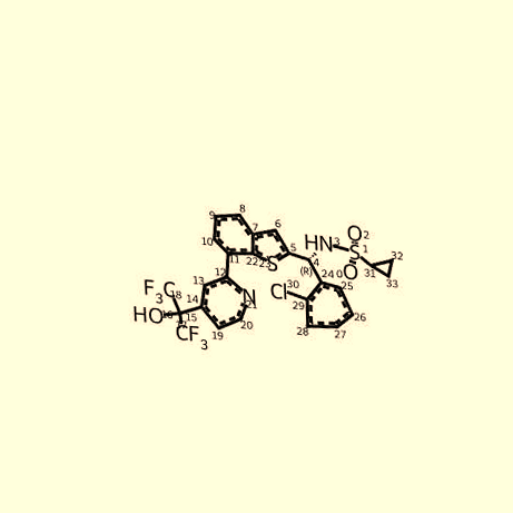 O=S(=O)(N[C@@H](c1cc2cccc(-c3cc(C(O)(C(F)(F)F)C(F)(F)F)ccn3)c2s1)c1ccccc1Cl)C1CC1